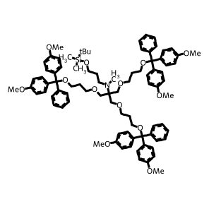 COc1ccc(C(OCCCOCC(COCCCOC(c2ccccc2)(c2ccc(OC)cc2)c2ccc(OC)cc2)(COCCCOC(c2ccccc2)(c2ccc(OC)cc2)c2ccc(OC)cc2)N(C)CCCO[Si](C)(C)C(C)(C)C)(c2ccccc2)c2ccc(OC)cc2)cc1